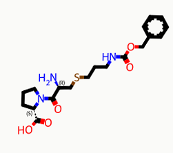 N[C@@H](CSCCCNC(=O)OCc1ccccc1)C(=O)N1CCC[C@H]1C(=O)O